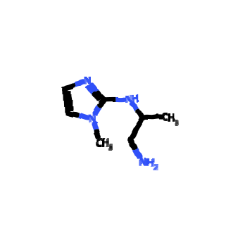 CC(CN)Nc1nccn1C